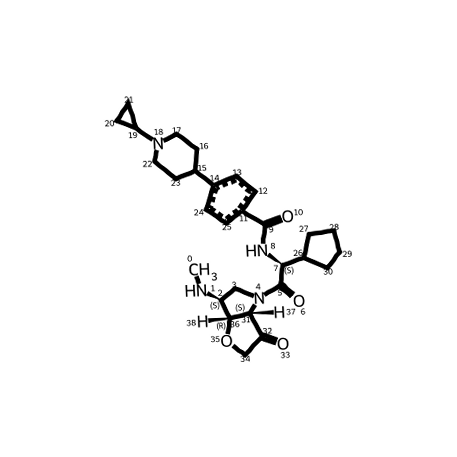 CN[C@H]1CN(C(=O)[C@@H](NC(=O)c2ccc(C3CCN(C4CC4)CC3)cc2)C2CCCC2)[C@@H]2C(=O)CO[C@H]12